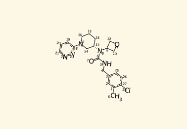 Cc1cc(CNC(=O)N(C2COC2)[C@H]2CCCN(c3cccnn3)C2)ccc1Cl